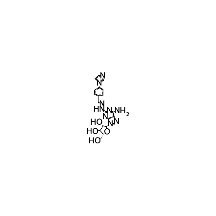 Nc1nc(N/N=C/c2ccc(-n3ccnc3)cc2)nc2c1ncn2[C@@H]1O[C@H](CO)[C@@H](O)[C@H]1O